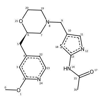 COc1cc(C[C@@H]2CN(Cc3cnc(NC(C)=O)s3)CCO2)ccn1